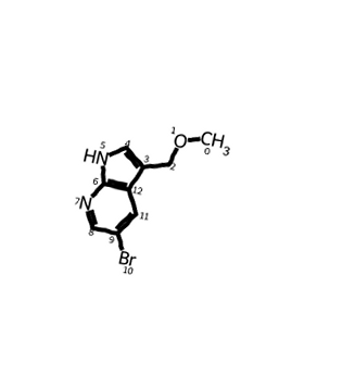 COCc1c[nH]c2ncc(Br)cc12